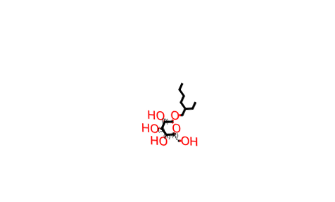 CCCCC(CC)COC1O[C@H](CO)[C@H](O)[C@H](O)[C@H]1O